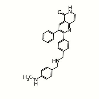 CNc1ccc(CNCc2ccc(-c3nc4cc[nH]c(=O)c4cc3-c3ccccc3)cc2)cc1